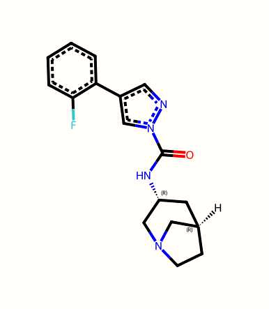 O=C(N[C@@H]1C[C@H]2CCN(C2)C1)n1cc(-c2ccccc2F)cn1